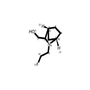 OCC1[C@@H]2CC[C@@H](C2)N1CCF